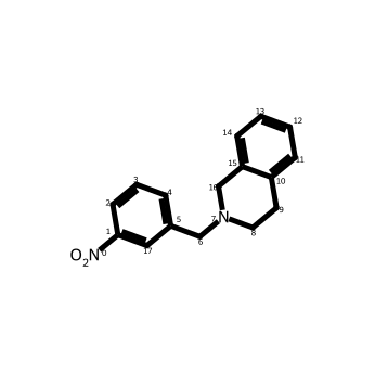 O=[N+]([O-])c1cccc(CN2CCc3ccccc3C2)c1